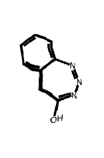 OC1=NN=Nc2ccccc2C1